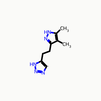 Cc1[nH]nc(CCc2[c]nn[nH]2)c1C